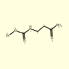 CCOC(=O)NCCC(N)=O